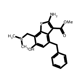 COC(=O)c1c(N)sc2c(CN(C)C)c(O)cc(Cc3ccccc3)c12